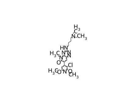 CCN(CC)CCCCNc1nnc2cc(-c3cc(OC)nc(OC)c3Cl)c(=O)n(CC)c2n1